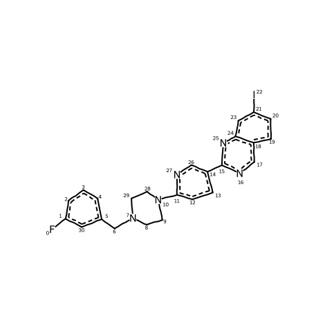 Fc1cccc(CN2CCN(c3ccc(-c4ncc5ccc(I)cc5n4)cn3)CC2)c1